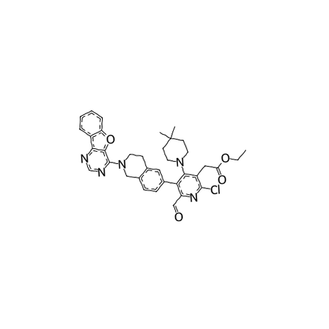 CCOC(=O)Cc1c(Cl)nc(C=O)c(-c2ccc3c(c2)CCN(c2ncnc4c2oc2ccccc24)C3)c1N1CCC(C)(C)CC1